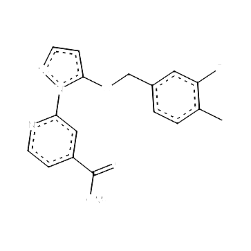 COC(=O)c1ccnc(-n2nccc2OCc2ccc(C)c(F)c2)c1